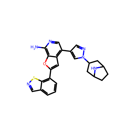 Nc1ncc(-c2cnn(C3CC4CCC(C3)N4)c2)c2cc(-c3cccc4cnsc34)oc12